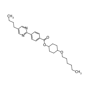 CCCCCCOC1CCC(OC(=O)c2ccc(-c3ncc(CCCC)cn3)cc2)CC1